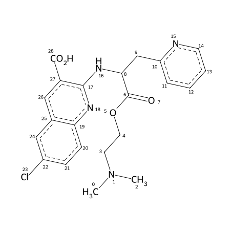 CN(C)CCOC(=O)C(Cc1ccccn1)Nc1nc2ccc(Cl)cc2cc1C(=O)O